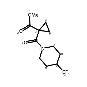 COC(=O)C1(C(=O)N2CCC(C(F)(F)F)CC2)CC1